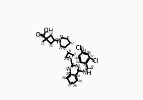 C[C@@H](Nc1nc(N2CC([C@H]3CCCN(C4CC(C)(C(=O)O)C4)C3)C2)nc2ccccc12)c1ccc(Cl)cc1Cl